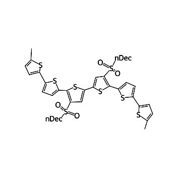 CCCCCCCCCCS(=O)(=O)c1cc(-c2cc(S(=O)(=O)CCCCCCCCCC)c(-c3ccc(-c4ccc(C)s4)s3)s2)sc1-c1ccc(-c2ccc(C)s2)s1